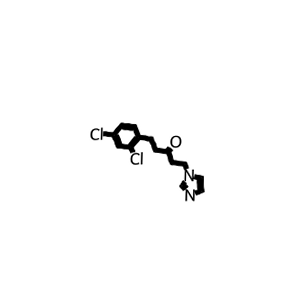 O=C(CCc1ccc(Cl)cc1Cl)CCn1ccnc1